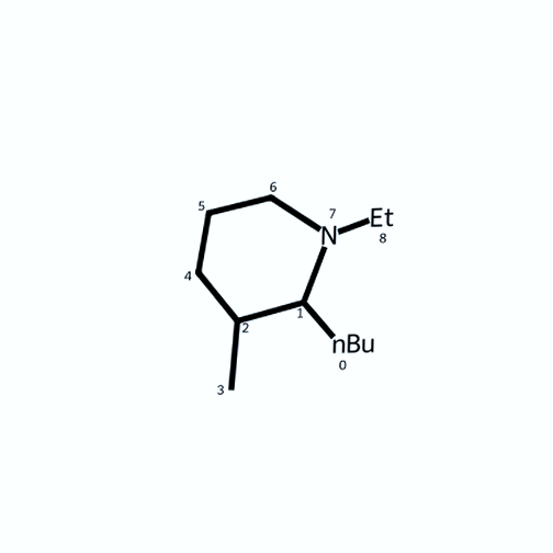 CCCCC1C(C)CCCN1CC